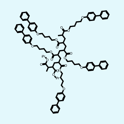 CC(C)OC(=O)C(C)C(CC(CC(CC(CC(CC(C)C(=O)OCCCCOc1ccc(-c2ccccc2)cc1)C(=O)OCCCCOc1ccc(-c2ccccc2)cc1)C(=O)OCCCCOc1ccc(-c2ccccc2)cc1)C(=O)OCCCCOc1ccc(-c2ccccc2)cc1)C(=O)OCCCCOc1ccc(-c2ccccc2)cc1)C(=O)OC(C)C